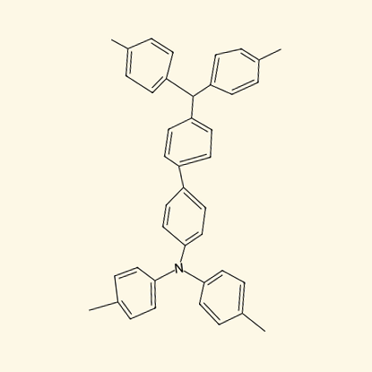 Cc1ccc(C(c2ccc(C)cc2)c2ccc(-c3ccc(N(c4ccc(C)cc4)c4ccc(C)cc4)cc3)cc2)cc1